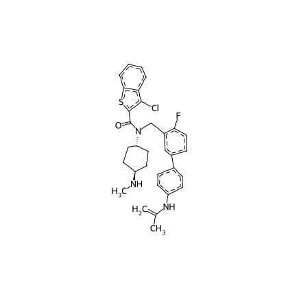 C=C(C)Nc1ccc(-c2ccc(F)c(CN(C(=O)c3sc4ccccc4c3Cl)[C@H]3CC[C@H](NC)CC3)c2)cc1